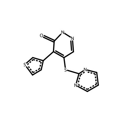 O=C1[N]N=CC(Sc2ncccn2)=C1c1ccsc1